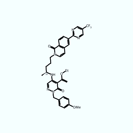 C=C(OCC)c1c(N[C@@H](C)CCCn2ccc3cc(-c4ncc(C(F)(F)F)cn4)ccc3c2=O)cnn(Cc2ccc(OC)cc2)c1=O